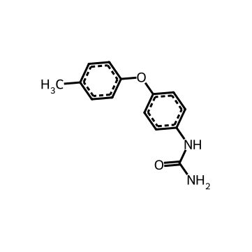 Cc1ccc(Oc2ccc(NC(N)=O)cc2)cc1